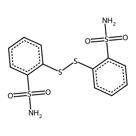 NS(=O)(=O)c1ccccc1SSc1ccccc1S(N)(=O)=O